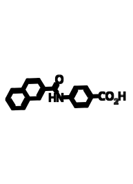 O=C(O)c1ccc(NC(=O)c2ccc3ccccc3c2)cc1